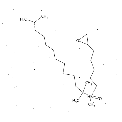 CC(C)CCCCCCCCCC(C)(C)[SH](C)(=O)CCCCCC1CO1